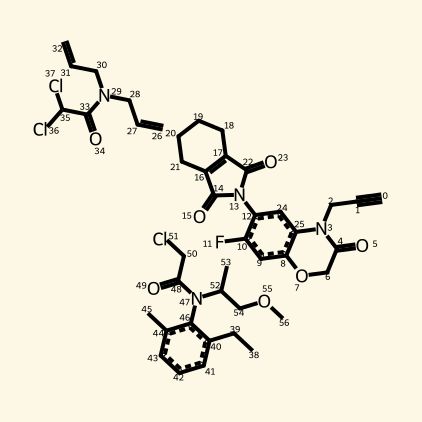 C#CCN1C(=O)COc2cc(F)c(N3C(=O)C4=C(CCCC4)C3=O)cc21.C=CCN(CC=C)C(=O)C(Cl)Cl.CCc1cccc(C)c1N(C(=O)CCl)C(C)COC